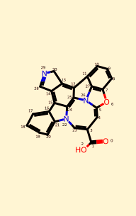 O=C(O)c1cc2oc3cccc4c5c6c(c7c8ccccc8n(c1)c7c5n2c34)C=NC6